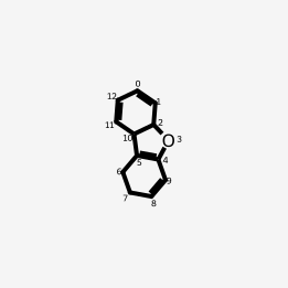 C1=CC2OC3=C(CCC=C3)C2C=C1